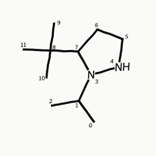 CC(C)N1NCCC1C(C)(C)C